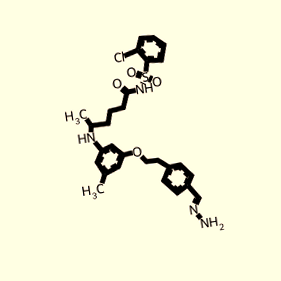 Cc1cc(NC(C)CCCC(=O)NS(=O)(=O)c2ccccc2Cl)cc(OCCc2ccc(C=NN)cc2)c1